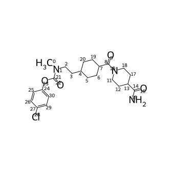 CN(CCC1CCC(C(=O)N2CCC(C(N)=O)CC2)CC1)C(=O)Oc1ccc(Cl)cc1